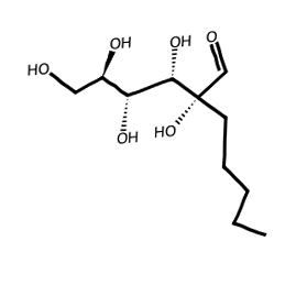 CCCCC[C@](O)(C=O)[C@@H](O)[C@H](O)[C@H](O)CO